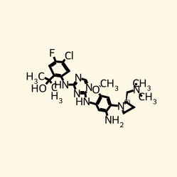 COc1cc(N2CC[C@@H]2CN(C)C)c(N)cc1Nc1ncnc(Nc2cc(Cl)c(F)cc2C(C)(C)O)n1